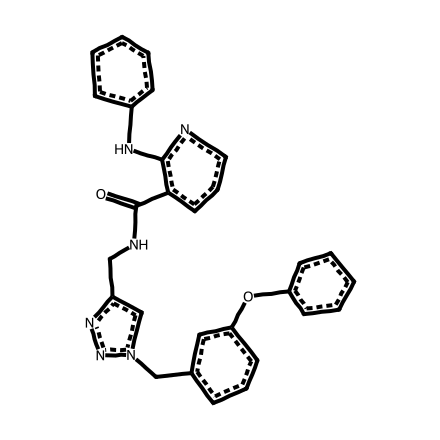 O=C(NCc1cn(Cc2cccc(Oc3ccccc3)c2)nn1)c1cccnc1Nc1ccccc1